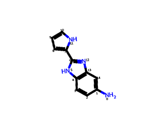 Nc1ccc2[nH]c(-c3ccc[nH]3)nc2c1